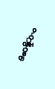 O=CCc1ccc2c(c1)CC[C@H](NC(=O)c1ccc(OC[C@@H]3CCCO3)cc1)C2